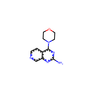 Nc1nc(N2CCOCC2)c2ccncc2n1